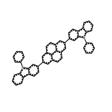 c1ccc(-n2c3ccccc3c3ccc(-c4cc5ccc6cc(-c7ccc8c9ccccc9n(-c9ccccc9)c8c7)cc7ccc(c4)c5c67)cc32)cc1